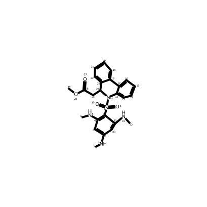 CNc1cc(NC)c(S(=O)(=O)N2c3ccccc3-c3ccccc3C2CC(=O)OC)c(NC)c1